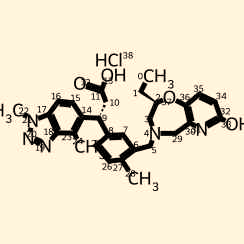 CC[C@@H]1CN(Cc2cc([C@@H](CC(=O)O)c3ccc4c(nnn4C)c3C)ccc2C)Cc2nc(O)ccc2O1.Cl